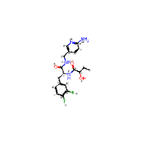 CC[C@@H](O)C(=O)N[C@@H](Cc1ccc(F)c(F)c1)C(=O)NCc1ccc(N)nc1